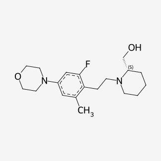 Cc1cc(N2CCOCC2)cc(F)c1CCN1CCCC[C@H]1CO